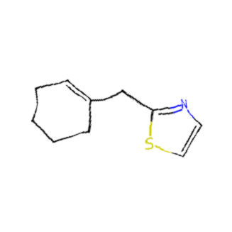 C1=C(Cc2nccs2)CCCC1